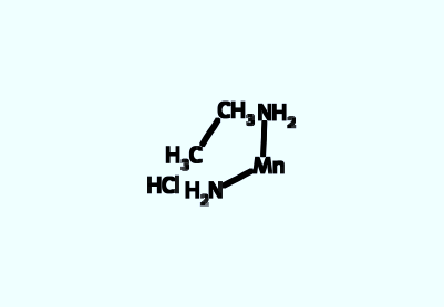 CC.Cl.[NH2][Mn][NH2]